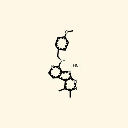 COc1ccc(CNc2nccc3c2sc2nnc(C)c(C)c23)cc1.Cl